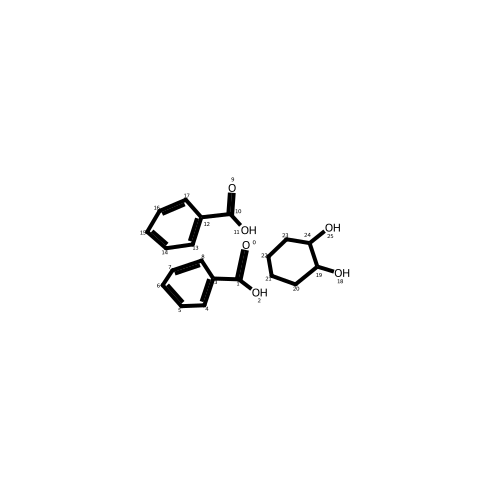 O=C(O)c1ccccc1.O=C(O)c1ccccc1.OC1CCCCC1O